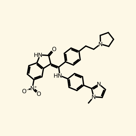 Cn1ccnc1-c1ccc(NC(=C2C(=O)Nc3ccc([N+](=O)[O-])cc32)c2ccc(CCN3CCCC3)cc2)cc1